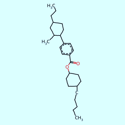 CCCCCC1CCC(OC(=O)c2ccc(C3CCC(CCC)CC3C)cc2)CC1